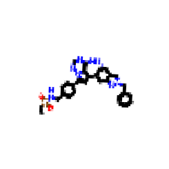 CCS(=O)(=O)NCc1ccc(-c2cc(-c3ccc4cn(Cc5ccccc5)nc4c3)c3c(N)ncnn23)cc1